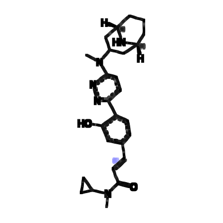 CN(C(=O)/C=C/c1ccc(-c2ccc(N(C)C3C[C@H]4CCC[C@@H](C3)N4)nn2)c(O)c1)C1CC1